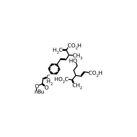 C=C(C(=O)O)C(C)C=Cc1ccccc1.C=C(C(=O)O)C(C=CC(=O)O)CCO.C=CC(=O)OCCCC